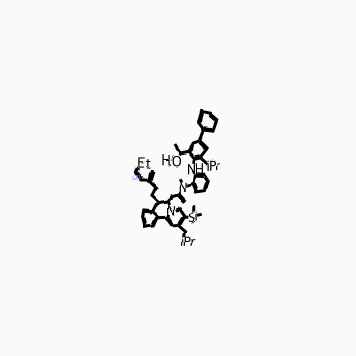 C=C(/C=C\CC)CCC1c2ccccc2-c2cc(CC(C)C)c([Si](C)(C)C)c[n+]2C1CC(=C)N(C)c1ccccc1Nc1c(C(C)C)cc(-c2ccccc2)cc1C(C)O